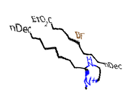 CCCCCCCCCCCCCCCCCC(=O)OCC.CCCCCCCCCCCCCCCCCC1=[N+](C)CCN1.[Br-]